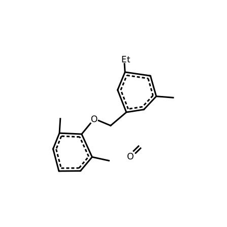 C=O.CCc1cc(C)cc(COc2c(C)cccc2C)c1